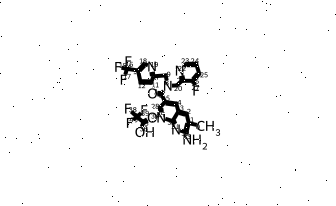 Cc1cc2cc(C(=O)N(Cc3ccc(C(F)(F)F)cn3)Cc3ncccc3F)cnc2nc1N.O=C(O)C(F)(F)F